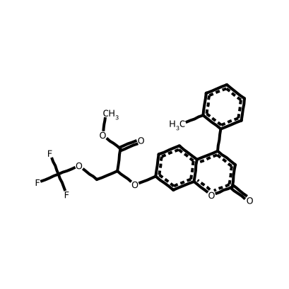 COC(=O)C(COC(F)(F)F)Oc1ccc2c(-c3ccccc3C)cc(=O)oc2c1